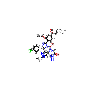 Cn1ccc([C@@H]2[C@H](c3ccc(Cl)cc3)N=C(c3ccc(C(=O)CC(=O)O)cc3OC(C)(C)C)N2C(=O)N2CCNC(=O)C2)n1